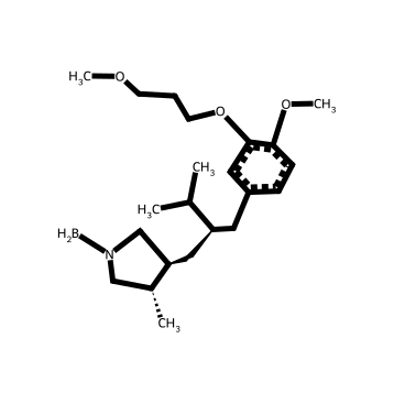 BN1C[C@@H](C[C@H](Cc2ccc(OC)c(OCCCOC)c2)C(C)C)[C@H](C)C1